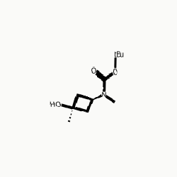 CN(C(=O)OC(C)(C)C)[C@H]1C[C@@](C)(O)C1